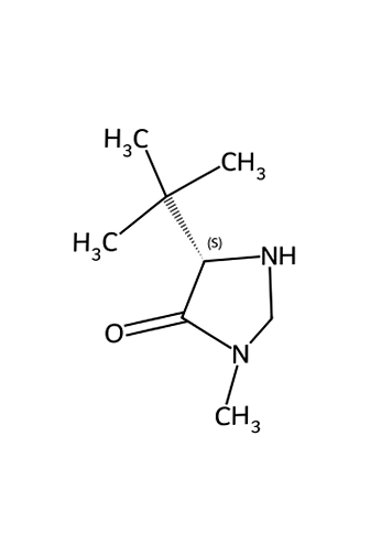 CN1CN[C@@H](C(C)(C)C)C1=O